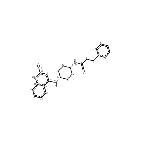 O=C(CCc1ccccc1)N[C@H]1CC[C@@H](Nc2cc(C(F)(F)F)nc3ccccc23)CC1